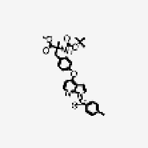 COC(=O)C(C)(Cc1ccc(Oc2ccnc3c2ccn3[S+]([O-])c2ccc(C)cc2)cc1)NC(=O)OC(C)(C)C